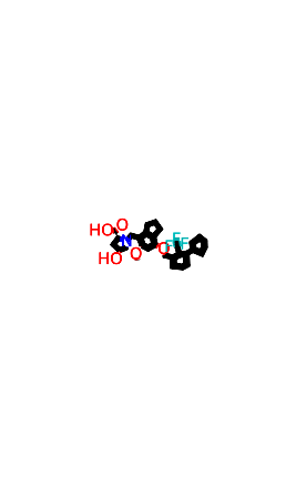 COc1cc(OCc2cccc(-c3ccccc3)c2C(F)(F)F)c2c(c1CN1CC(O)C[C@@H]1C(=O)O)CCC2